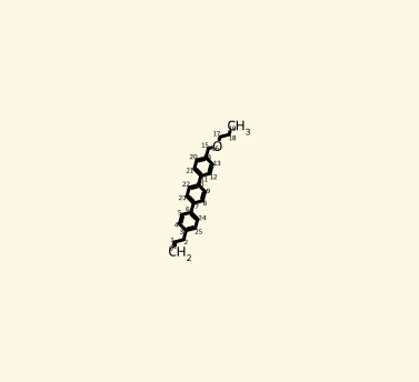 C=CCc1ccc(-c2ccc(-c3ccc(COCCC)cc3)cc2)cc1